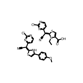 CCN1C(C(=O)O)=CSC1=C(C#N)c1ccnc(Cl)n1.COc1ccc(C2=CSC(=C(C#N)c3ccnc(Cl)n3)N2)cc1